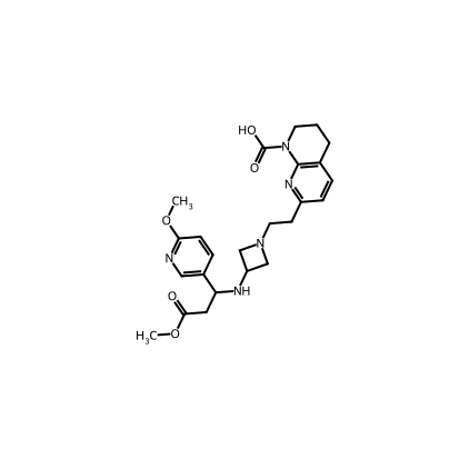 COC(=O)CC(NC1CN(CCc2ccc3c(n2)N(C(=O)O)CCC3)C1)c1ccc(OC)nc1